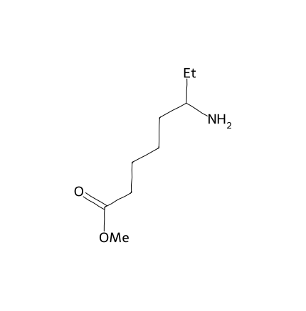 CCC(N)CCCCC(=O)OC